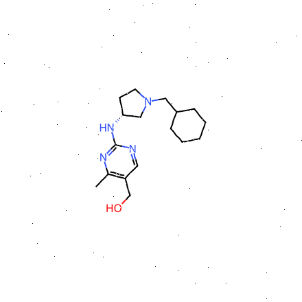 Cc1nc(N[C@@H]2CCN(CC3CCCCC3)C2)ncc1CO